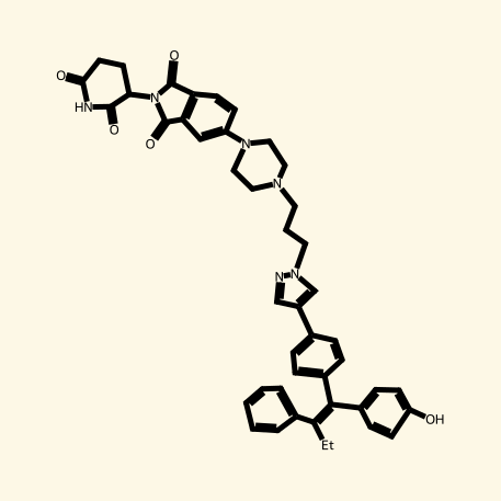 CCC(=C(c1ccc(O)cc1)c1ccc(-c2cnn(CCCN3CCN(c4ccc5c(c4)C(=O)N(C4CCC(=O)NC4=O)C5=O)CC3)c2)cc1)c1ccccc1